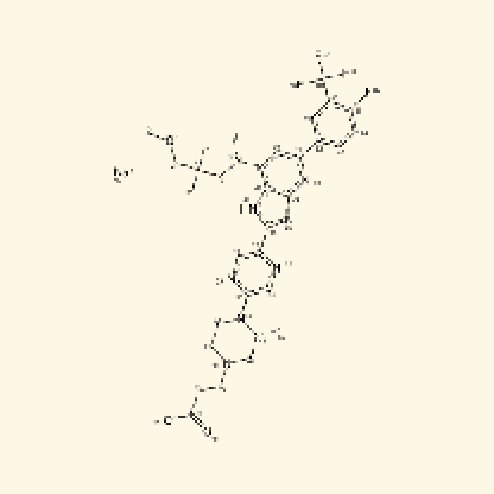 COCC(C)(C)CN(C)c1cc(-c2ccc(F)c(C(F)(F)F)c2)nc2nc(-c3cnc(N4CCN(CCC(=O)[O-])C[C@H]4C)cn3)[nH]c12.[Na+]